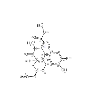 COC[C@H]1C[C@H]2C(=O)N(C)/C(=N\C(=O)OC(C)(C)C)N[C@@]2(c2cc(O)c(F)cc2F)CO1